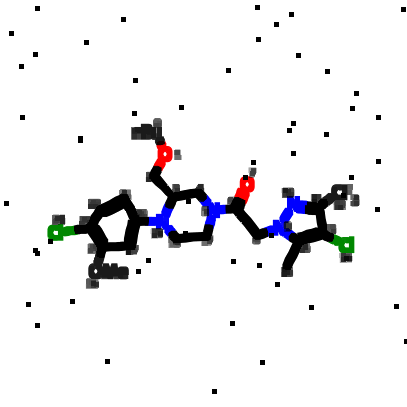 CCCCOC[C@H]1CN(C(=O)Cn2nc(C(F)(F)F)c(Cl)c2C)CCN1c1ccc(Cl)c(OC)c1